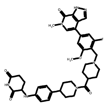 COc1cc(-c2cn(C)c(=O)c3[nH]ncc23)cc(F)c1CN1CCC(C(=O)N2CCC(c3ccc(NC4CCC(=O)NC4=O)cc3)CC2)CC1